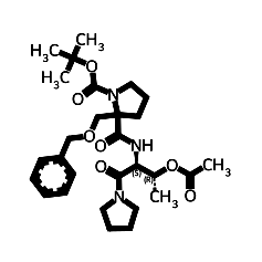 CC(=O)O[C@H](C)[C@H](NC(=O)C1(COCc2ccccc2)CCCN1C(=O)OC(C)(C)C)C(=O)N1CCCC1